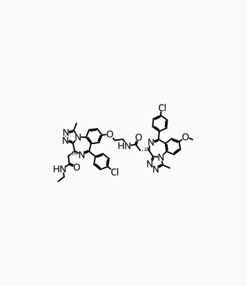 CCNC(=O)C[C@@H]1N=C(c2ccc(Cl)cc2)c2cc(OCCNC(=O)C[C@@H]3N=C(c4ccc(Cl)cc4)c4cc(OC)ccc4-n4c(C)nnc43)ccc2-n2c(C)nnc21